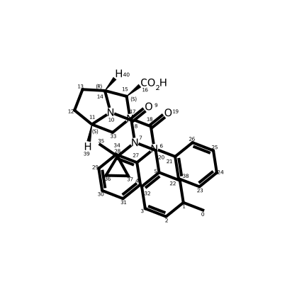 CC1C=CC=C(CN(C(=O)N2[C@H]3CC[C@@H]2[C@@H](C(=O)O)N(C(=O)N(c2ccccc2)c2ccccc2)C3)C2(C)CC2)C1